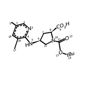 Cc1cnc(N[C@H]2C[C@@H](C(=O)O)N(C(=O)OC(C)(C)C)C2)c(C)c1